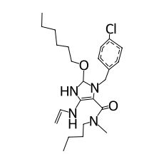 C=CNC1=C(C(=O)N(C)CCCC)N(Cc2ccc(Cl)cc2)C(OCCCCCC)N1